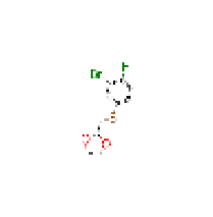 Fc1ccc(SCC2OCCO2)cc1Br